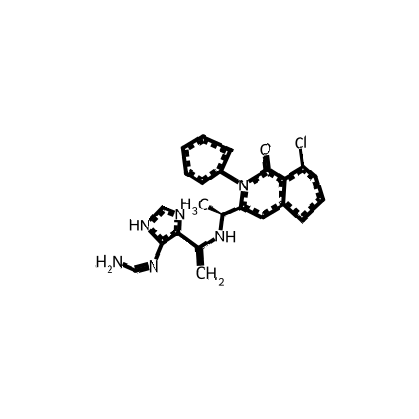 C=C(N[C@@H](C)c1cc2cccc(Cl)c2c(=O)n1-c1ccccc1)c1nc[nH]c1/N=C\N